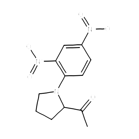 CC(=O)C1CCCN1c1ccc([N+](=O)[O-])cc1[N+](=O)[O-]